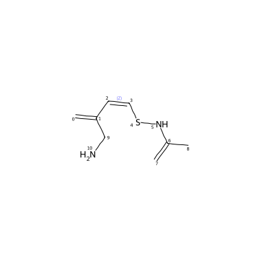 C=C(/C=C\SNC(=C)C)CN